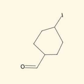 O=CC1CCC(I)CC1